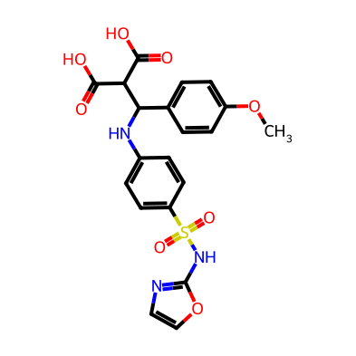 COc1ccc(C(Nc2ccc(S(=O)(=O)Nc3ncco3)cc2)C(C(=O)O)C(=O)O)cc1